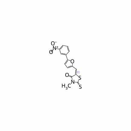 CN1C(=O)/C(=C\c2ccc(-c3cccc([N+](=O)[O-])c3)o2)SC1=S